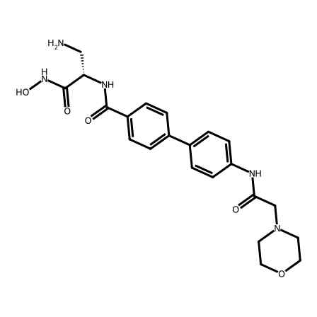 NC[C@H](NC(=O)c1ccc(-c2ccc(NC(=O)CN3CCOCC3)cc2)cc1)C(=O)NO